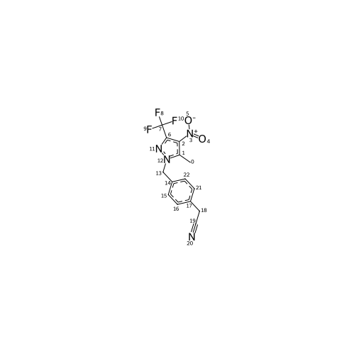 Cc1c([N+](=O)[O-])c(C(F)(F)F)nn1Cc1ccc(CC#N)cc1